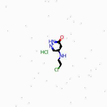 Cl.O=c1cc(NC=CCl)cn[nH]1